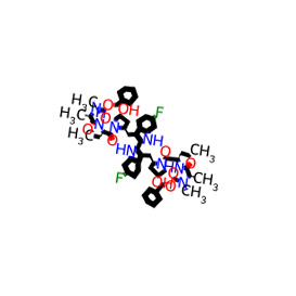 CCC[C@H](NC(=O)[C@H](C)N(C)C(=O)OCc1ccccc1)C(=O)N1C[C@@H](O)C[C@H]1Cc1c(-c2[nH]c3cc(F)ccc3c2C[C@@H]2C[C@H](O)CN2C(=O)[C@H](CC)NC(=O)[C@H](C)N(C)C(=O)OCc2ccccc2)[nH]c2cc(F)ccc12